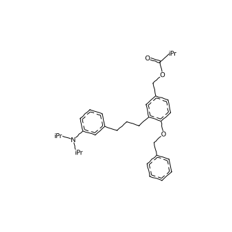 CC(C)C(=O)OCc1ccc(OCc2ccccc2)c(CCCc2cccc(N(C(C)C)C(C)C)c2)c1